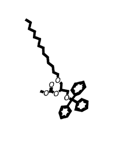 CCCCCCCCCCCCCCOCC(COC(c1ccccc1)(c1ccccc1)c1ccccc1)OC(=O)OC